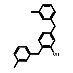 Cc1cccc(Cc2ccc(Cc3cccc(C)c3)c(O)c2)c1